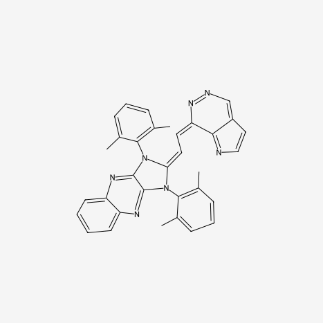 Cc1cccc(C)c1N1C(=C/C=c2/nncc3c2=NC=C3)N(c2c(C)cccc2C)c2nc3ccccc3nc21